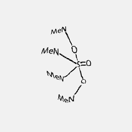 CNOS(=O)(NC)(NC)ONC